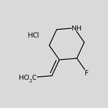 Cl.O=C(O)C=C1CCNCC1F